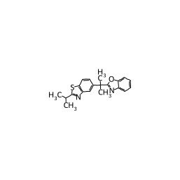 CC(C)c1nc2cc(C(C)(C)c3nc4ccccc4o3)ccc2s1